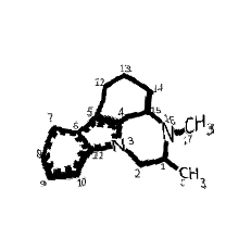 CC1Cn2c3c(c4ccccc42)CCCC3N1C